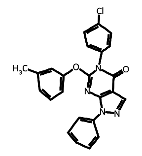 Cc1cccc(Oc2nc3c(cnn3-c3ccccc3)c(=O)n2-c2ccc(Cl)cc2)c1